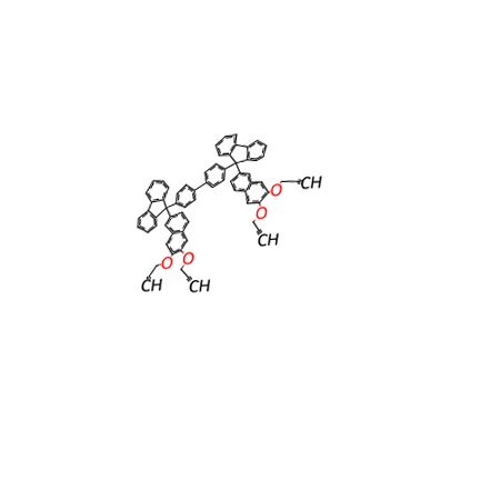 C#CCOc1cc2ccc(C3(c4ccc(-c5ccc(C6(c7ccc8cc(OCC#C)c(OCC#C)cc8c7)c7ccccc7-c7ccccc76)cc5)cc4)c4ccccc4-c4ccccc43)cc2cc1OCC#C